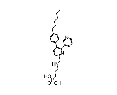 CCCCCCc1ccc(-c2ccc(CNCCCP(=O)(O)O)nc2-c2cccnc2)cc1